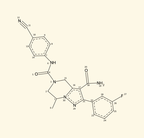 CC1CN(C(=O)Nc2ccc(C#N)cc2)Cc2c(C(N)=O)c(-c3cccc(F)c3)nn21